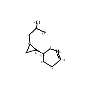 CCC(CC)CC1CC1[C@@H]1CCC=NC1